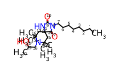 CCCCCCCCN1C(=O)NC2(CC(C)(C)N(CC(C)O)C(C)(C)C2)C1=O